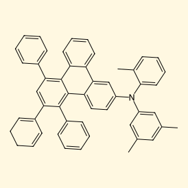 Cc1cc(C)cc(N(c2ccc3c(c2)c2ccccc2c2c(-c4ccccc4)cc(C4=CCCC=C4)c(-c4ccccc4)c32)c2ccccc2C)c1